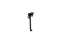 O=C(CCCCCCCCCCCCCCC1CC1)Cc1ccccc1[N+](=O)[O-]